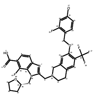 O=C(O)c1ccc2nc(CN3CCc4cc(C(F)(F)F)c(OCc5ccc(Cl)cc5F)nc4C3)n(C[C@@H]3CCCO3)c2c1F